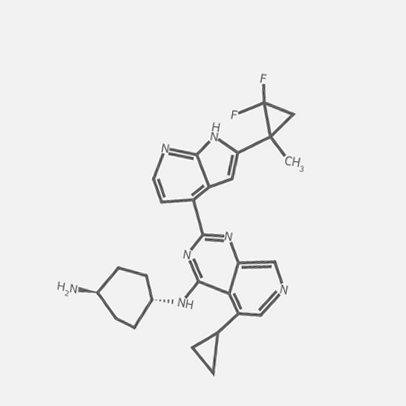 CC1(c2cc3c(-c4nc(N[C@H]5CC[C@H](N)CC5)c5c(C6CC6)cncc5n4)ccnc3[nH]2)CC1(F)F